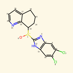 [O-][S+](c1nc2cc(Cl)c(Cl)cc2[nH]1)C1CCCc2cccnc21